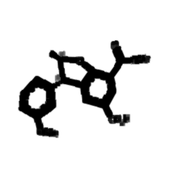 CNC(=O)c1cc(C(=O)O)cc2c1O[C@H](C)[C@H]2c1cccc(OC)c1